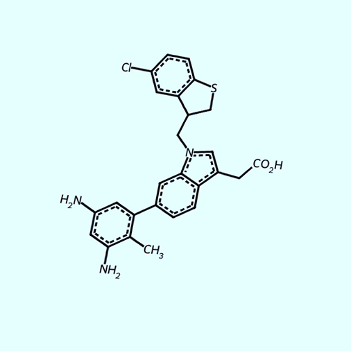 Cc1c(N)cc(N)cc1-c1ccc2c(CC(=O)O)cn(CC3CSc4ccc(Cl)cc43)c2c1